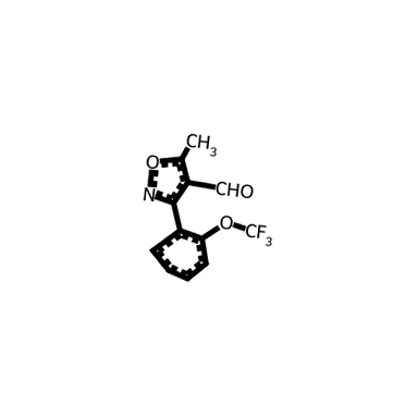 Cc1onc(-c2ccccc2OC(F)(F)F)c1C=O